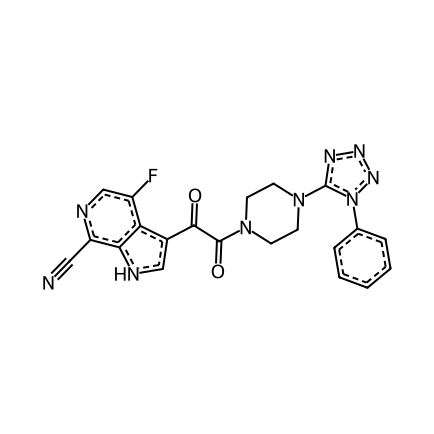 N#Cc1ncc(F)c2c(C(=O)C(=O)N3CCN(c4nnnn4-c4ccccc4)CC3)c[nH]c12